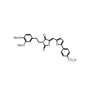 COc1ccc(CCN2C(=O)C(=Cc3ccc(-c4ccc(C(=O)O)cc4)o3)SC2=S)cc1OC